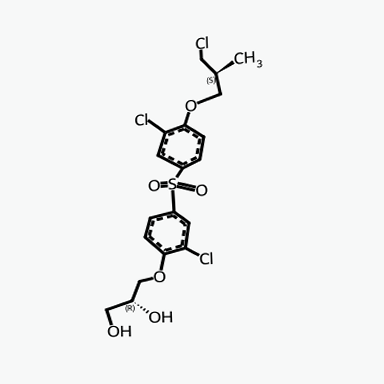 C[C@H](CCl)COc1ccc(S(=O)(=O)c2ccc(OC[C@H](O)CO)c(Cl)c2)cc1Cl